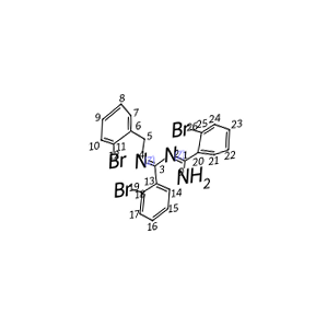 N/C(=N\C(=N/Cc1ccccc1Br)c1ccccc1Br)c1ccccc1Br